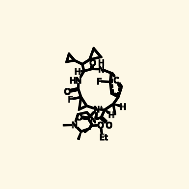 CCO[C@@H](C)C(=O)[N+]1(C)C2CC2(F)C(=O)N[C@@H](C(C2CC2)C2CC2)C(=O)Nc2ccc(cc2F)[C@H](C)[C@@H]1C(=O)N1CCN(C)[C@H](C)C1